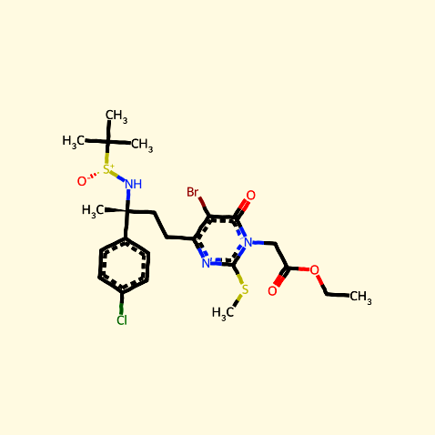 CCOC(=O)Cn1c(SC)nc(CC[C@@](C)(N[S@+]([O-])C(C)(C)C)c2ccc(Cl)cc2)c(Br)c1=O